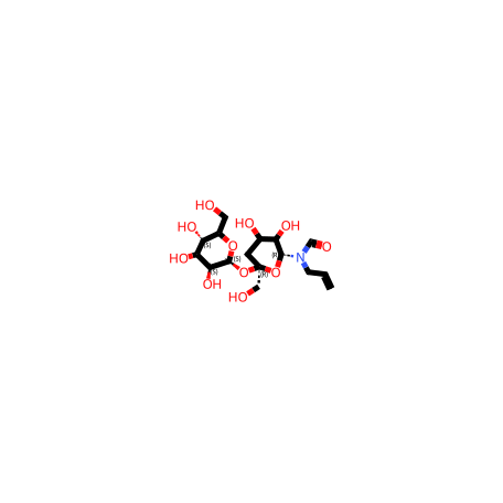 C=CCN(C=O)[C@@H]1O[C@@](CO)(O[C@@H]2OC(CO)[C@@H](O)C(O)[C@@H]2O)CC(O)C1O